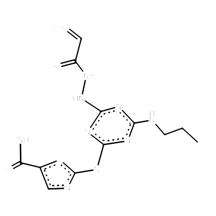 C=CC(=O)NNc1nc(NCCO)nc(Nc2ncc(C(N)=O)s2)n1